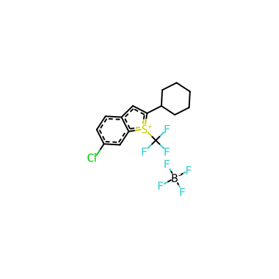 FC(F)(F)[s+]1c(C2CCCCC2)cc2ccc(Cl)cc21.F[B-](F)(F)F